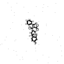 C[C@]1(c2ccc(F)cc2F)C[C@H](C(=O)N2C(=O)OC[C@H]2c2ccccc2)CO1